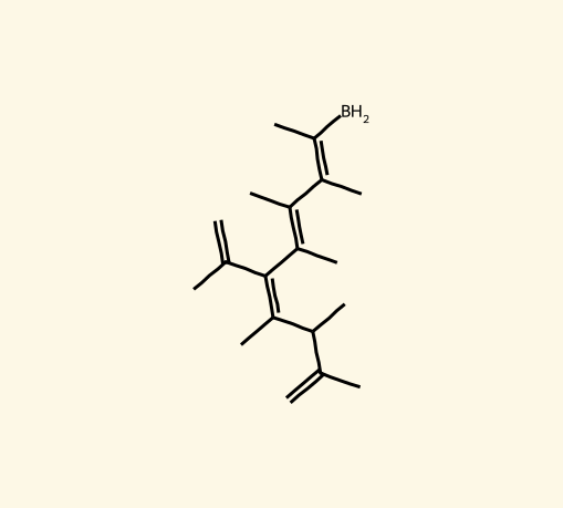 B/C(C)=C(C)/C(C)=C(C)/C(C(=C)C)=C(/C)C(C)C(=C)C